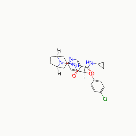 CC(C)(Oc1ccc(Cl)cc1)C(=O)N[C@H]1C[C@H]2CC[C@@H](C1)N2c1ccc(C(=O)NC2CC2)cn1